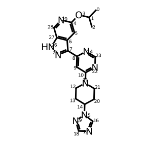 CC(C)Oc1cc2c(-c3cc(N4CCC(n5cncn5)CC4)ncn3)n[nH]c2cn1